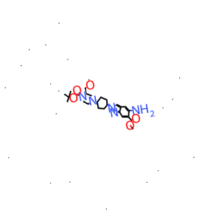 COC[C@H]1CN(C2CCC(n3cc4cc(N)c(C(=O)OC)cc4n3)CC2)CCN1C(=O)OC(C)(C)C